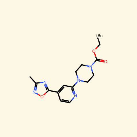 Cc1noc(-c2ccnc(N3CCN(C(=O)OCC(C)(C)C)CC3)c2)n1